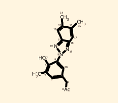 CC(=O)Cc1cc(C)c(O)c(-n2nc3cc(C)c(C)cc3n2)c1